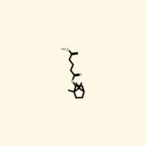 C=C(CCCC(=O)OC1CC2CCC1(C)C2(C)C)C(=O)O